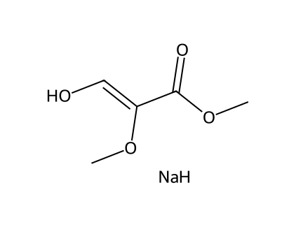 COC(=O)C(=CO)OC.[NaH]